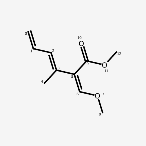 [CH]=C/C=C(C)/C(=C/OC)C(=O)OC